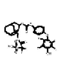 O=C(Oc1ccc(Oc2c(F)c(F)c(O)c(F)c2F)cc1)OC1CC2CC3CCC1C(COC(=O)C(F)(F)S(=O)(=O)O)(C3)C2